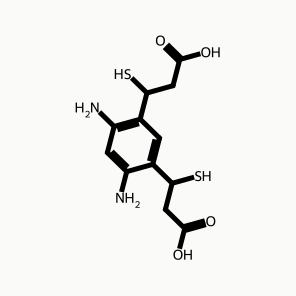 Nc1cc(N)c(C(S)CC(=O)O)cc1C(S)CC(=O)O